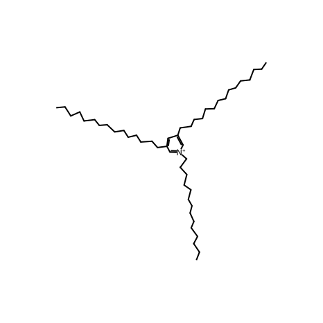 CCCCCCCCCCCCCCCc1cc(CCCCCCCCCCCCCCC)c[n+](CCCCCCCCCCCCCC)c1